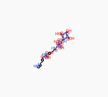 O=C(O)CN1CCN(CC(=O)O)CCN(CC(=O)N[C@@H](CS(=O)(=O)O)C(=O)N[C@@H](CS(=O)(=O)O)C(=O)NCCNC(=O)CCCOc2ccc(S(=O)(=O)N[C@@H](CNC(=O)c3ccc(CCc4ccc5c(n4)NCCC5)cc3)C(=O)O)cc2)CCN(CC(=O)O)CC1